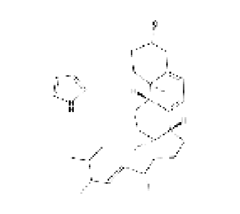 CC(C)[C@@H](C)/C=C/[C@@H](C)[C@H]1CC[C@H]2C3=CC=C4C[C@@H](O)CC[C@]4(C)[C@H]3CC[C@]12C.c1cc[nH]c1